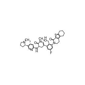 CN1C=C(c2cc(F)cc(N3CCc4c(sc5c4CCCC5)C3=O)c2CO)CC(Nc2ccc([C@H]3CCCN3C)cn2)C1=O